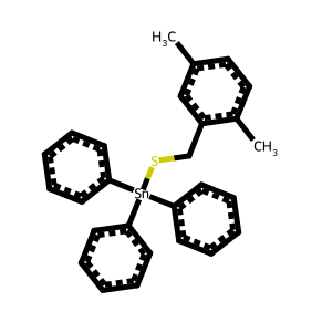 Cc1ccc(C)c(C[S][Sn]([c]2ccccc2)([c]2ccccc2)[c]2ccccc2)c1